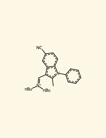 CCCC[N+](=Cc1c(C)n(-c2ccccc2)c2ccc(C#N)cc12)CCCC